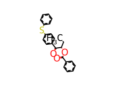 CCC(OC(=O)c1ccccc1)C(=O)c1ccc(Sc2ccccc2)cc1